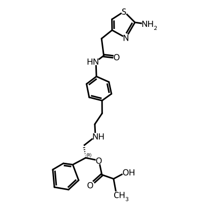 CC(O)C(=O)O[C@@H](CNCCc1ccc(NC(=O)Cc2csc(N)n2)cc1)c1ccccc1